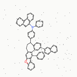 c1ccc(-c2c3c(cc4oc5ccccc5c24)CCC(c2ccc(N(c4ccccc4)c4cc5ccccc5c5ccccc45)cc2)c2ccc(-c4ccc5ccccc5c4)cc2-3)cc1